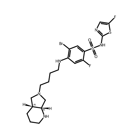 O=S(=O)(Nc1ncc(F)s1)c1cc(Br)c(NCCCCN2C[C@H]3CCCN[C@H]3C2)cc1F